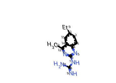 CCc1ccc2nc(NC(=N)N)nc(C)c2c1